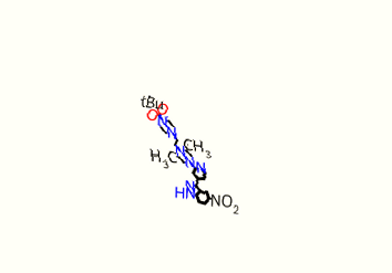 C[C@@H]1CN(c2cc(-c3n[nH]c4ccc([N+](=O)[O-])cc34)ccn2)C[C@H](C)N1CCN1CCN(C(=O)OC(C)(C)C)CC1